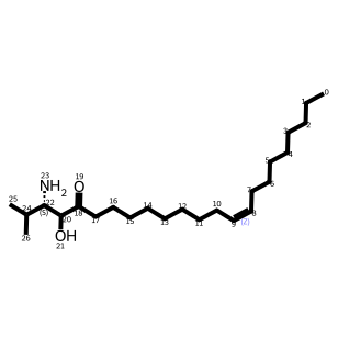 CCCCCCCC/C=C\CCCCCCCCC(=O)C(O)[C@@H](N)C(C)C